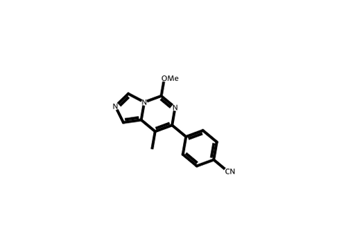 COc1nc(-c2ccc(C#N)cc2)c(C)c2cncn12